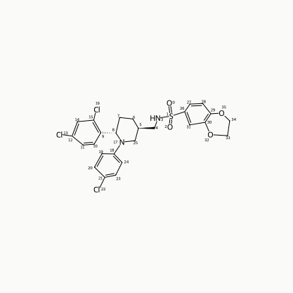 O=S(=O)(NC[C@@H]1CC[C@@H](c2ccc(Cl)cc2Cl)N(c2ccc(Cl)cc2)C1)c1ccc2c(c1)OCCO2